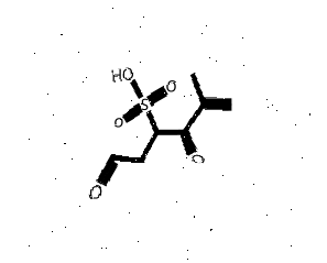 C=C(C)C(=O)C(CC=O)S(=O)(=O)O